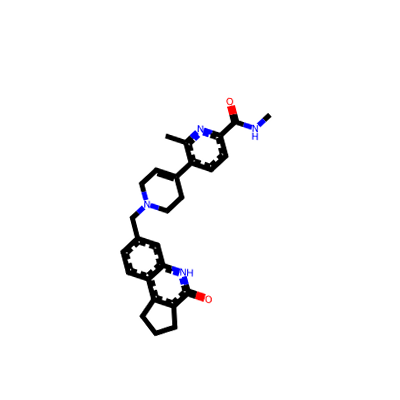 CNC(=O)c1ccc(C2=CCN(Cc3ccc4c5c(c(=O)[nH]c4c3)CCC5)CC2)c(C)n1